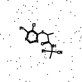 CC(Sc1ncnc(C(C)C)c1Cl)C(=O)NC(C)(C#N)C(C)C